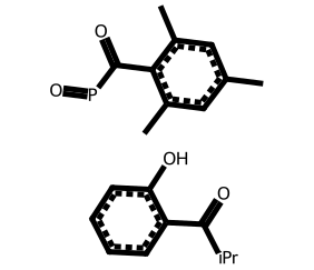 CC(C)C(=O)c1ccccc1O.Cc1cc(C)c(C(=O)P=O)c(C)c1